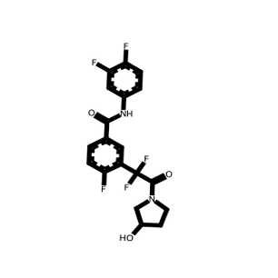 O=C(Nc1ccc(F)c(F)c1)c1ccc(F)c(C(F)(F)C(=O)N2CCC(O)C2)c1